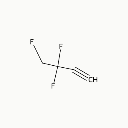 C#CC(F)(F)CF